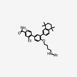 CCc1cc(C(N)=O)ccc1-c1ccc(OCCCCNC(C)C)c(-c2ccc3c(c2)C(C)(C)CCC3(C)C)c1